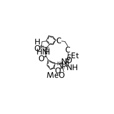 CCC12CCCCc3ccc4c(c3)[C@@H](NC(=O)c3ccc5c(c3)[C@H](N(C(=N)C1)C2=O)[C@](C)(COC)O5)[C@H](O)C4